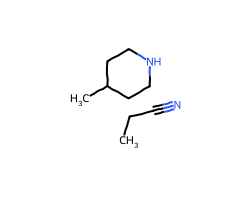 CC1CCNCC1.CCC#N